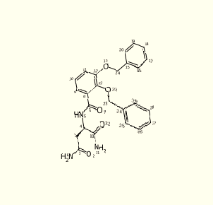 NC(=O)C[C@@H](NC(=O)c1cccc(OCc2ccccc2)c1OCc1ccccc1)C(N)=O